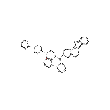 c1ccc(-c2ccc(-c3ccc(N(c4ccc5c(ccc6c7ccccc7oc56)c4)c4ccccc4-c4ccccc4)cc3)cc2)cc1